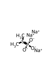 CS(C)=P([O-])([O-])[O-].[Na+].[Na+].[Na+]